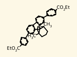 CCOC(=O)c1ccc(-c2ccc3c(c2)C2(c4cc(-c5ccc(C(=O)OCC)cc5)ccc4-3)C3(C)CCCC2(C)CCC3)cc1